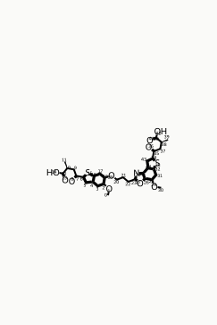 COc1cc2cc(C(=O)C[C@H](C)C(=O)O)sc2cc1OCCCc1nc2c(o1)c(OC)cc1sc(C(=O)C[C@H](C)C(=O)O)cc12